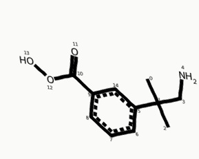 CC(C)(CN)c1cccc(C(=O)OO)c1